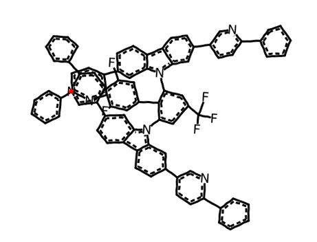 Fc1cc(F)cc(-c2c(-n3c4cc(-c5ccc(-c6ccccc6)nc5)ccc4c4ccc(-c5ccc(-c6ccccc6)nc5)cc43)cc(C(F)(F)F)cc2-n2c3cc(-c4ccc(-c5ccccc5)nc4)ccc3c3ccc(-c4ccc(-c5ccccc5)nc4)cc32)c1